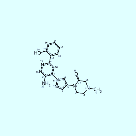 CN1CCN(c2cnn(-c3cc(-c4ccccc4O)nnc3N)c2)C(=O)C1